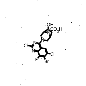 O=C(O)N1C2CC(O)C1CN(c1nc(Cl)nc3c(F)c(Br)c(Cl)cc13)C2